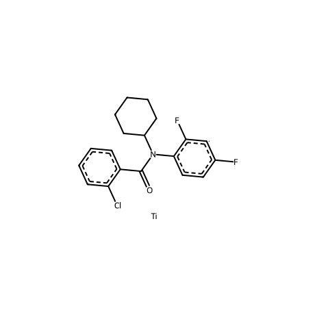 O=C(c1ccccc1Cl)N(c1ccc(F)[c]c1F)C1CCCCC1.[Ti]